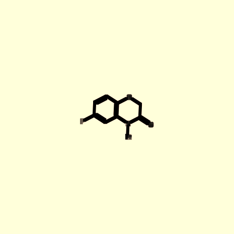 CCN1C(=O)COc2ccc(F)cc21